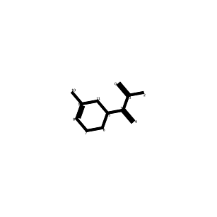 C=C(C)C(=C)C1CCC=C(C)C1